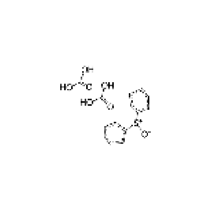 O=C(O)O.O=C(O)O.[O-][S+](c1ccccc1)c1ccccc1